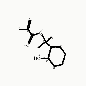 C=C(C)C(=O)OC(C)(C)C1CCCCC1O